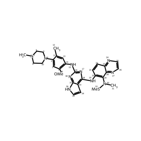 COc1cc(N2CCN(C)CC2)c(C)cc1Nc1nc(Nc2ccc3nccnc3c2N(C)SC)c2cc[nH]c2n1